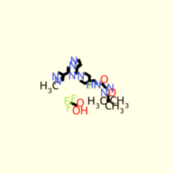 Cn1cc(-c2cn3nccc3c(N3CCC(F)(CNC(=O)c4noc(C(C)(C)C)n4)CC3)n2)cn1.O=C(O)C(F)(F)F